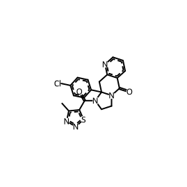 Cc1nnsc1C(=O)N1CCN2C(=O)c3cccnc3CC21c1ccc(Cl)cc1